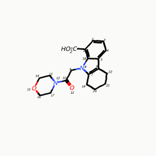 O=C(O)c1cccc2c3c(n(CC(=O)N4CCOCC4)c12)CCCC3